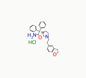 Cl.NC(=O)C(c1ccccc1)(c1ccccc1)[C@@H]1CCN(CCc2ccc3c(c2)CCO3)C1